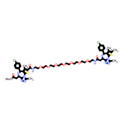 COC(=O)CC1N=C(c2ccc(Cl)cc2)c2c(sc(C(=O)NCCOCCOCCOCCOCCOCCOCCOCCNC(=O)CC3N=C(c4ccc(Cl)cc4)c4c(sc(C)c4C)-n4c(C)nnc43)c2C)-n2c(C)nnc21